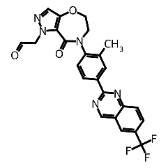 Cc1cc(-c2ncc3cc(C(F)(F)F)ccc3n2)ccc1N1CCOc2cnn(CC=O)c2C1=O